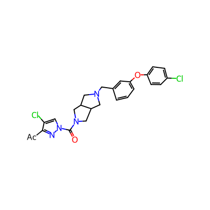 CC(=O)c1nn(C(=O)N2CC3CN(Cc4cccc(Oc5ccc(Cl)cc5)c4)CC3C2)cc1Cl